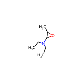 CCN(CC)C1OC1C